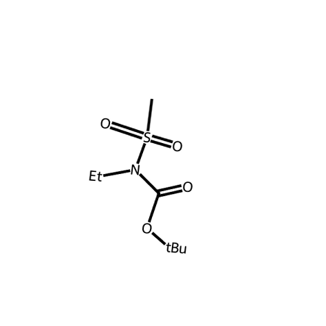 [CH2]CN(C(=O)OC(C)(C)C)S(C)(=O)=O